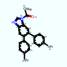 CCCc1ccc(-c2cc3ncn(C(=O)OC)c3cc2-c2ccc(CCC)cc2)cc1